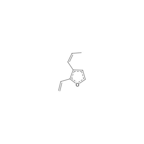 C=Cc1occc1/C=C\C